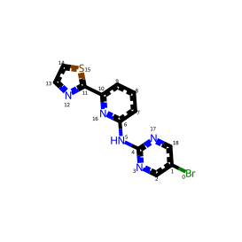 Brc1cnc(Nc2cccc(-c3nccs3)n2)nc1